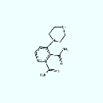 NC(=O)c1cccc(N2CCNCC2)c1C(N)=O